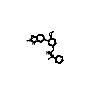 COc1ccc(CN[C@H](C)c2ccccc2)cc1-c1ccc2nn(C)nc2c1